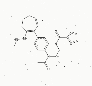 CNNC1=C(c2ccc3c(c2)N(C(=O)c2ccco2)C[C@H](C)N3C(C)=O)C=CCCC1